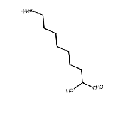 CCCCCCCCCCCCCC(O)C=O